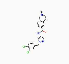 CC(=O)N1CCc2cc(C(=O)Nc3cnn(Cc4ccc(Cl)c(Cl)c4)c3)ccc2C1